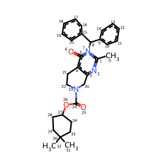 Cc1nc2c(c(=O)n1C(c1ccccc1)c1ccccc1)CCN(C(=O)OC1CCC(C)(C)CC1)C2